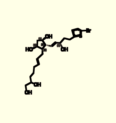 OCC(O)CCCC=CC[C@@H]1[C@@H](C=C[C@@H](O)CCc2ccc(Br)s2)[C@H](O)C[C@@H]1O